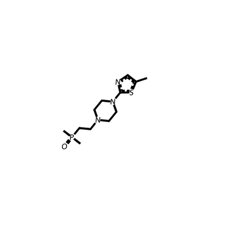 Cc1cnc(N2CCN(CCP(C)(C)=O)CC2)s1